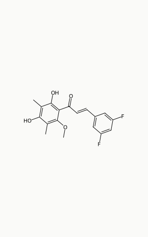 COc1c(C)c(O)c(C)c(O)c1C(=O)C=Cc1cc(F)cc(F)c1